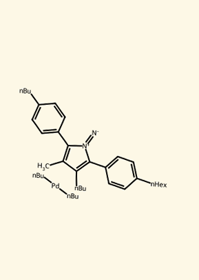 CCCCCCc1ccc(C2=C(CCCC)C(C)=C(c3ccc(CCCC)cc3)[N+]2=[N-])cc1.CCC[CH2][Pd][CH2]CCC